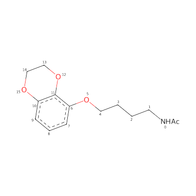 CC(=O)NCCCCOc1cccc2c1OCCO2